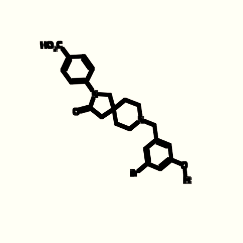 CCOc1cc(Br)cc(CN2CCC3(CC2)CC(=O)N(c2ccc(C(=O)O)cc2)C3)c1